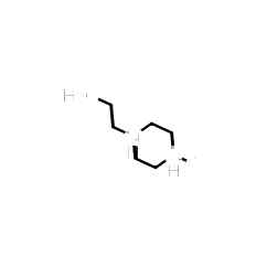 CCC[SiH]1CC[SiH](Cl)CC1